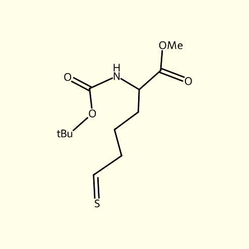 COC(=O)C(CCCC=S)NC(=O)OC(C)(C)C